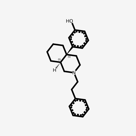 Oc1cccc([C@]23CCCC[C@@H]2CN(CCc2ccccc2)CC3)c1